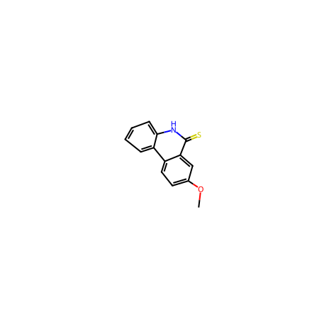 COc1ccc2c(c1)c(=S)[nH]c1ccccc12